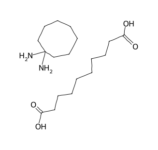 NC1(N)CCCCCCC1.O=C(O)CCCCCCCCC(=O)O